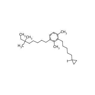 CCC(C)(C)CCCCCc1ccc(C)c(CCCCCC2(I)CC2)c1C